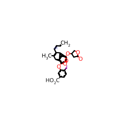 C=C/C=C\C1=C(C)C2c3cccc4c3C14C(C(=O)OC1COC(=O)C1)C2C(=O)Oc1cc(C(=O)O)ccc1I